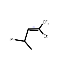 CC/C(=C\C(C)C(C)C)C(F)(F)F